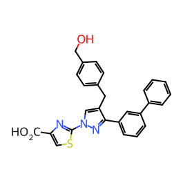 O=C(O)c1csc(-n2cc(Cc3ccc(CO)cc3)c(-c3cccc(-c4ccccc4)c3)n2)n1